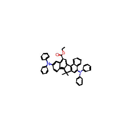 CCOC(=O)c1cc2c(c3ccc(N(c4ccccc4)c4ccccc4)cc13)C(C)(C)c1cc(N(c3ccccc3)c3ccccc3)c3ccccc3c1-2